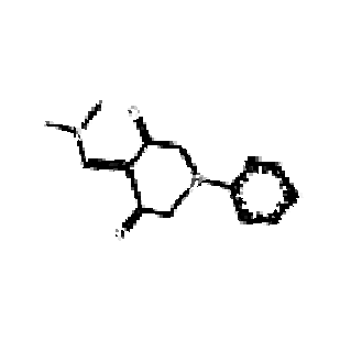 CN(C)C=C1C(=O)CN(c2ccccc2)CC1=O